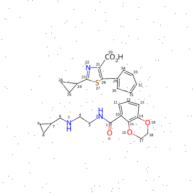 O=C(NCCNCC1CC1)c1cccc2c1OCCO2.O=C(O)c1nc(C2CC2)sc1-c1ccccc1